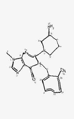 Cn1cnc2c(=O)n(Cc3ccccc3C#N)c(N3CCCC(N)C3)nc21